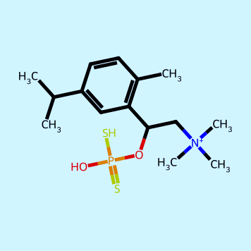 Cc1ccc(C(C)C)cc1C(C[N+](C)(C)C)OP(O)(=S)S